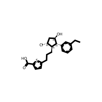 CCc1cccc([C@@H]2[C@@H](CCCc3ccc(C(=O)O)s3)[C@H](Cl)C[C@H]2O)c1